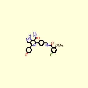 COc1ccc(F)cc1C(=O)NCc1ccc(-c2nc(C3CCC(=O)CC3)c3cn[nH]c3c2C(N)=O)cc1